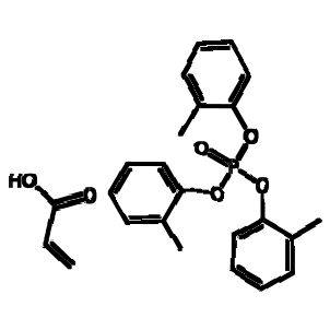 C=CC(=O)O.Cc1ccccc1OP(=O)(Oc1ccccc1C)Oc1ccccc1C